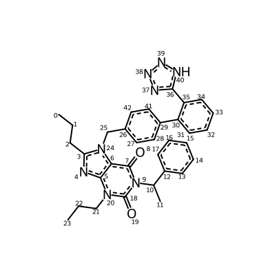 CCCc1nc2c(c(=O)n(C(C)c3ccccc3)c(=O)n2CCC)n1Cc1ccc(-c2ccccc2-c2nnn[nH]2)cc1